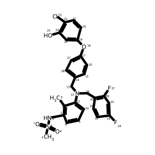 Cc1c(NS(C)(=O)=O)cccc1N(Cc1ccc(Oc2ccc(Cl)c(O)c2)cc1)Cc1ccc(F)cc1F